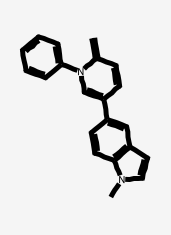 C=C1C=CC(c2ccc3c(ccn3C)c2)=CN1c1ccccc1